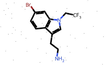 NCCc1cn(CC(F)(F)F)c2cc(Br)ccc12